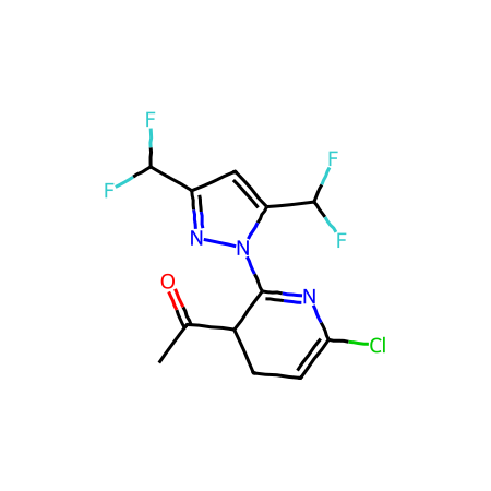 CC(=O)C1CC=C(Cl)N=C1n1nc(C(F)F)cc1C(F)F